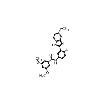 COc1cc(OC)cc(C(=O)Nc2ccc(Cl)c(-c3nc4cc(OC)ccc4[nH]3)c2)c1